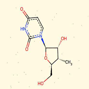 C[C@H]1[C@@H](O)[C@H](n2ccc(=O)[nH]c2=O)O[C@@H]1CO